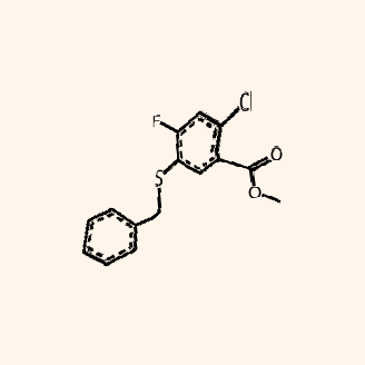 COC(=O)c1cc(SCc2ccccc2)c(F)cc1Cl